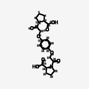 O=C(O)C1CCCN1C(=O)COc1ccc(OCC(=O)N2CCCC2C(=O)O)cc1